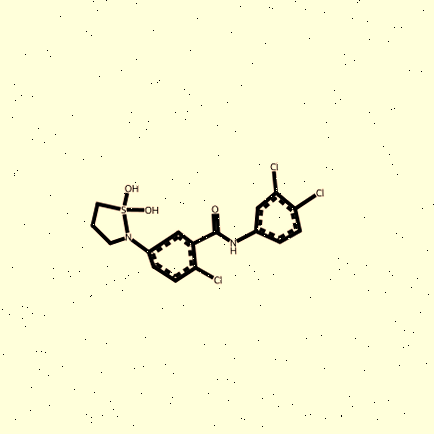 O=C(Nc1ccc(Cl)c(Cl)c1)c1cc(N2CCCS2(O)O)ccc1Cl